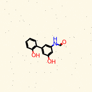 O=CNc1cc(O)cc(-c2[c]cccc2O)c1